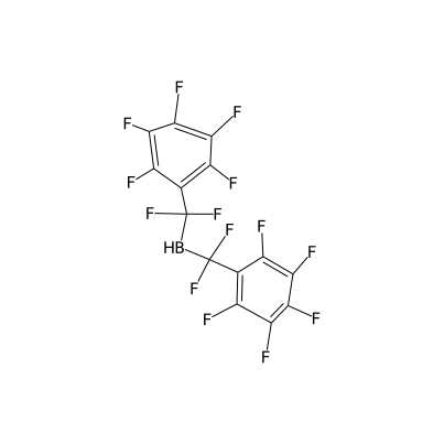 Fc1c(F)c(F)c(C(F)(F)BC(F)(F)c2c(F)c(F)c(F)c(F)c2F)c(F)c1F